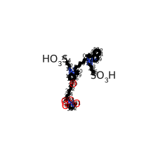 CC1(C)C(/C=C/C=C/C=C2/N(CCCCS(=O)(=O)O)c3ccc(OCCCCCC(=O)ON4C(=O)CCC4=O)cc3C2(C)C)=[N+](CCCCS(=O)(=O)O)c2ccc3ccccc3c21